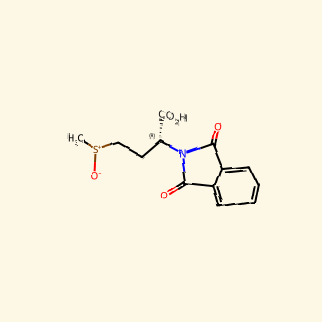 C[S+]([O-])CC[C@H](C(=O)O)N1C(=O)c2ccccc2C1=O